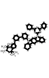 CC1CC(C)(C)c2ccc(-c3cccc(-c4cccc(-n5c6ccccc6c6cc7c8ccccc8n(-c8nc(-c9ccccc9)nc(-c9ccccc9)n8)c7cc65)c4)c3)cc2C1(C)C